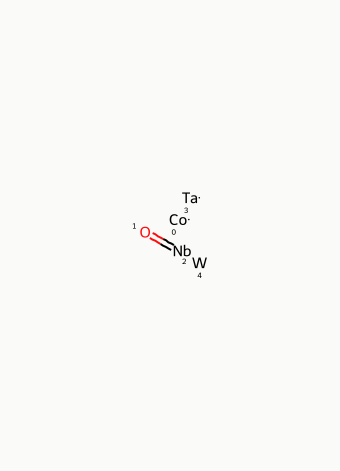 [Co].[O]=[Nb].[Ta].[W]